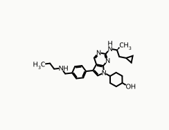 CCCNCc1ccc(-c2cn(C3CCC(O)CC3)c3nc(N[C@@H](C)CC4CC4)ncc23)cc1